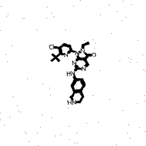 CCn1c(=O)c2cnc(Nc3ccc4c(c3)CNCC4)nc2n1-c1ccc(Cl)c(C(C)(C)C)n1